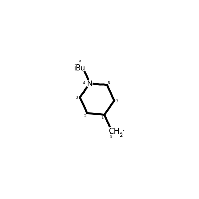 [CH2]C1CCN(C(C)CC)CC1